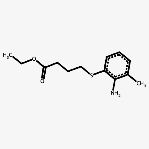 CCOC(=O)CCCSc1cccc(C)c1N